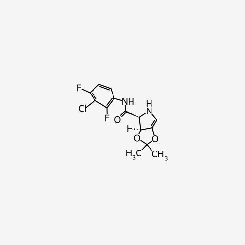 CC1(C)OC2=CN[C@H](C(=O)Nc3ccc(F)c(Cl)c3F)[C@@H]2O1